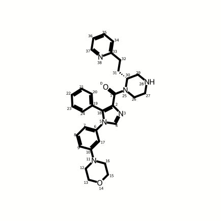 O=C(c1ncn(-c2cccc(N3CCOCC3)c2)c1-c1ccccc1)N1CCNC[C@H]1CCc1ccccn1